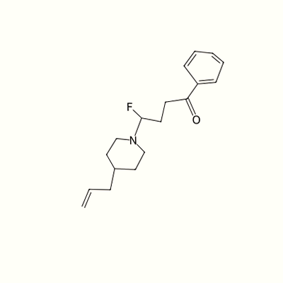 C=CCC1CCN(C(F)CCC(=O)c2ccccc2)CC1